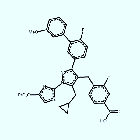 CCOC(=O)c1csc(-n2nc(-c3ccc(F)c(-c4cccc(OC)c4)c3)c(Cc3ccc(S(=O)O)cc3F)c2CC2CC2)n1